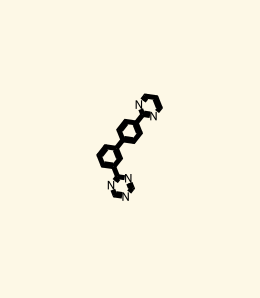 c1cnc(-c2ccc(-c3cccc(-c4ncncn4)c3)cc2)nc1